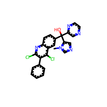 Cn1cncc1C(O)(c1ccc2nc(Cl)c(-c3ccccc3)c(Cl)c2c1)c1cnccn1